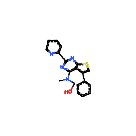 CN(CO)c1nc(-c2ccccn2)nc2scc(-c3ccccc3)c12